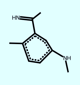 CNc1ccc(C)c(C(C)=N)c1